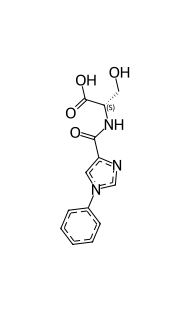 O=C(N[C@@H](CO)C(=O)O)c1cn(-c2ccccc2)cn1